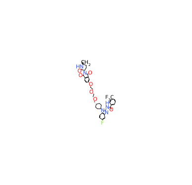 C=C1CCC(N2C(=O)c3ccc(OCCOCCOC[C@H]4CC[C@@H](n5c(NC(=O)c6cccc(C(F)(F)F)c6)nc6cc(F)ccc65)CC4)cc3C2=O)C(=O)N1